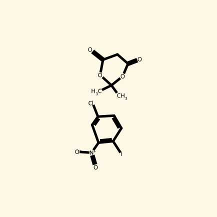 CC1(C)OC(=O)CC(=O)O1.O=[N+]([O-])c1cc(Cl)ccc1I